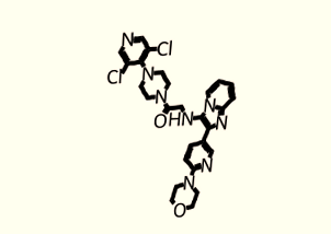 O=C(CNc1c(-c2ccc(N3CCOCC3)nc2)nc2ccccn12)N1CCN(c2c(Cl)cncc2Cl)CC1